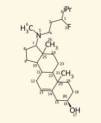 CC(C)C(F)CCN(C)C1CCC2C3CC=C4C[C@H](O)CCC4(C)C3CCC21C